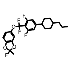 CCCC1CCC(c2cc(F)c(C(F)(F)Oc3ccc4c(c3)OC(C)(F)O4)c(F)c2)CC1